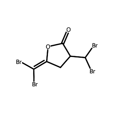 O=C1OC(=C(Br)Br)CC1C(Br)Br